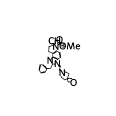 COC(=O)N1c2ccc3c(nc(Cc4ccccc4)n3CCN3CCC4(CC3)COC4)c2CC[C@@H]1C